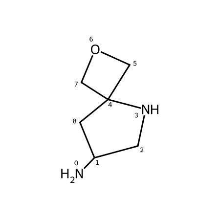 NC1CNC2(COC2)C1